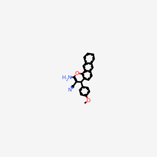 COc1ccc(C2C(C#N)=C(N)Oc3c2ccc2cc4ccccc4cc32)cc1